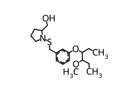 CCC(OC)C(CC)Oc1cccc(CSN2CCCC2CO)c1